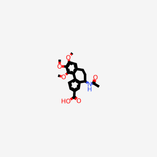 COc1cc2c(c(OC)c1OC)-c1ccc(C(=O)O)cc1C(NC(C)=O)CC2